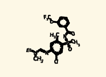 CCN(C)C=Nc1cc(C)c(S(C)(=O)=NC(=O)c2cccc(OC(F)(F)F)c2)cc1Cl